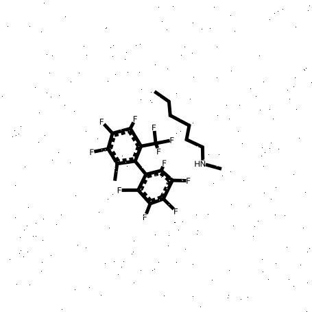 CCCCCCNC.Cc1c(F)c(F)c(F)c(C(F)(F)F)c1-c1c(F)c(F)c(F)c(F)c1F